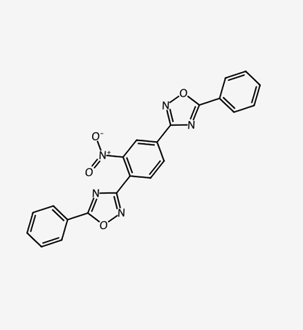 O=[N+]([O-])c1cc(-c2noc(-c3ccccc3)n2)ccc1-c1noc(-c2ccccc2)n1